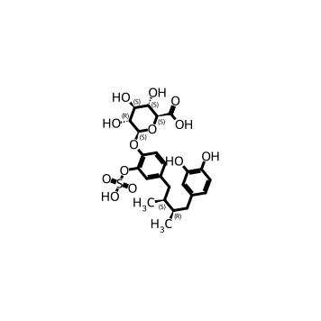 C[C@H](Cc1ccc(O)c(O)c1)[C@@H](C)Cc1ccc(O[C@@H]2O[C@H](C(=O)O)[C@@H](O)[C@H](O)[C@H]2O)c(OS(=O)(=O)O)c1